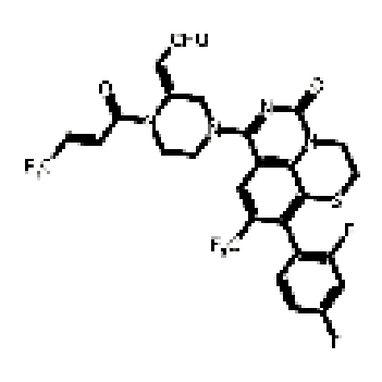 O=C/C=C1\CN(c2nc(=O)n3c4c(c(-c5ccc(F)cc5F)c(C(F)(F)F)cc24)SCC3)CCN1C(=O)/C=C/C(F)(F)F